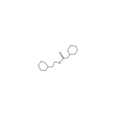 O=C(CC1CCCCC1)OCCC1CCCCC1